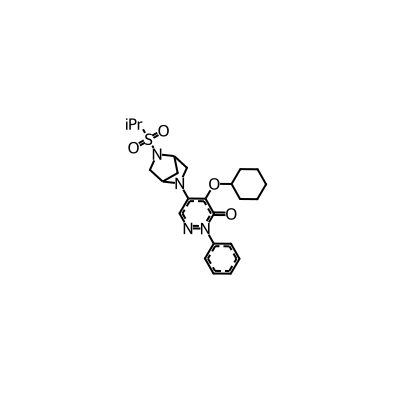 CC(C)S(=O)(=O)N1CC2CC1CN2c1cnn(-c2ccccc2)c(=O)c1OC1CCCCC1